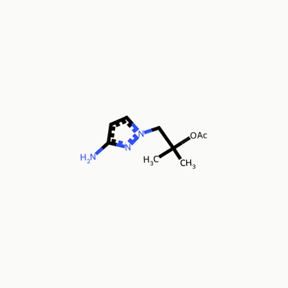 CC(=O)OC(C)(C)Cn1ccc(N)n1